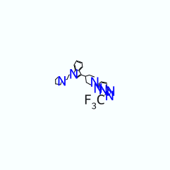 FC(F)(F)c1nnc2ccc(N3CCC(c4cn(CCN5CCCC5)c5ccccc45)CC3)nn12